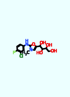 CN1C=C(C(O)C(O)C(O)CO)OC1Nc1ccc(F)c(Cl)c1